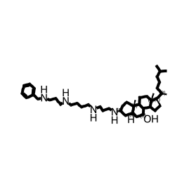 CC(C)CCC[C@@H](C)[C@H]1CCC2C3C(CC[C@@]21C)[C@@]1(C)CC[C@H](NCCCNCCCCNCCCNCc2ccccc2)C[C@H]1C[C@H]3O